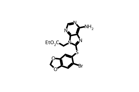 CCOC(=O)Cn1c(Sc2cc3c(cc2Br)OCO3)nc2c(N)ncnc21